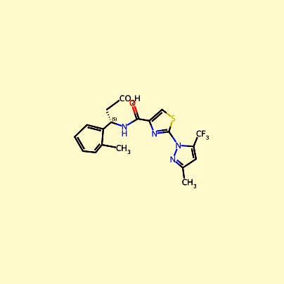 Cc1cc(C(F)(F)F)n(-c2nc(C(=O)N[C@@H](CC(=O)O)c3ccccc3C)cs2)n1